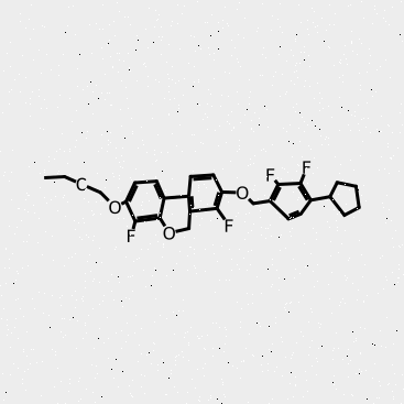 CCCCOc1ccc2c(c1F)OCc1c-2ccc(OCc2ccc(C3CCCC3)c(F)c2F)c1F